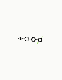 Fc1ccc(F)c(-c2ccc([C@H]3CC[C@H](C4C5CC54)CC3)cc2)c1